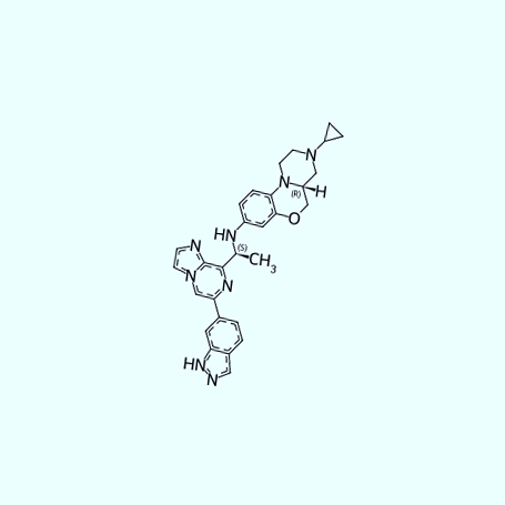 C[C@H](Nc1ccc2c(c1)OC[C@H]1CN(C3CC3)CCN21)c1nc(-c2ccc3cn[nH]c3c2)cn2ccnc12